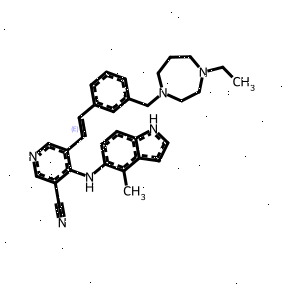 CCN1CCCN(Cc2cccc(/C=C/c3cncc(C#N)c3Nc3ccc4[nH]ccc4c3C)c2)CC1